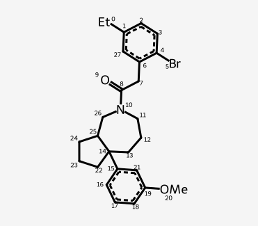 CCc1ccc(Br)c(CC(=O)N2CCCC3(c4cccc(OC)c4)CCCC3C2)c1